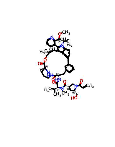 C=CC(=O)N1C[C@@H](C(=O)N(C)[C@H](C(=O)N[C@H]2Cc3cccc(c3)-c3ccc4c(c3)c(c(-c3cccnc3[C@H](C)OC)n4CC)CC(C)(C)COC(=O)[C@@H]3CCCN(N3)C2=O)C(C)C)C[C@H]1CO